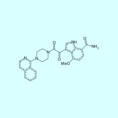 COc1ccc(C(N)=O)c2[nH]cc(C(=O)C(=O)N3CCN(c4nccc5ccccc45)CC3)c12